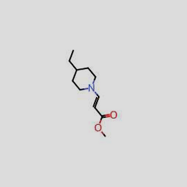 CCC1CCN(/C=C/C(=O)OC)CC1